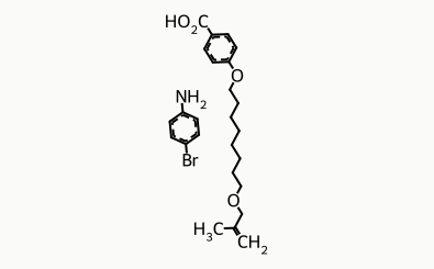 C=C(C)COCCCCCCCCOc1ccc(C(=O)O)cc1.Nc1ccc(Br)cc1